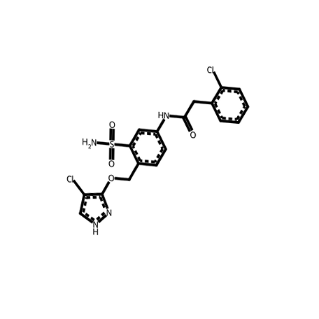 NS(=O)(=O)c1cc(NC(=O)Cc2ccccc2Cl)ccc1COc1n[nH]cc1Cl